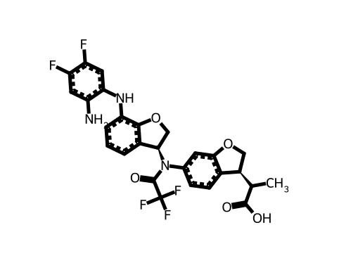 CC(C(=O)O)[C@@H]1COc2cc(N(C(=O)C(F)(F)F)[C@@H]3COc4c(Nc5cc(F)c(F)cc5N)cccc43)ccc21